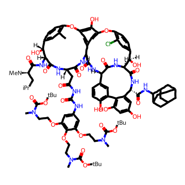 CN[C@H](CC(C)C)C(=O)N[C@H]1C(=O)N[C@@H](CC(=O)NC(=O)Nc2cc(OCCN(C)C(=O)OC(C)(C)C)c(OCCN(C)C(=O)OC(C)(C)C)c(OCCN(C)C(=O)OC(C)(C)C)c2)C(=O)N[C@H]2C(=O)N[C@H]3C(=O)N[C@H](C(=O)N[C@H](C(=O)NC4C5CC6CC(C5)CC4C6)c4cc(O)cc(O)c4-c4cc3ccc4O)[C@H](O)c3ccc(c(Cl)c3)Oc3cc2cc(c3O)Oc2ccc(cc2C)[C@H]1O